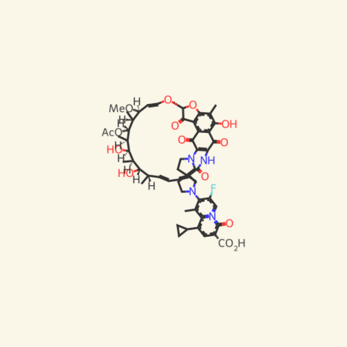 CO[C@H]1/C=C/O[C@@]2(C)Oc3c(C)c(O)c4c(c3C2=O)C(=O)C(N2CCC3(CCN(c5c(F)cn6c(=O)c(C(=O)O)cc(C7CC7)c6c5C)C3)C2)=C(NC(=O)/C(C)=C\C=C\[C@H](C)[C@H](O)[C@@H](C)[C@@H](O)[C@@H](C)[C@H](OC(C)=O)[C@@H]1C)C4=O